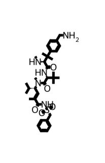 CN[C@H](C(=O)N[C@H](C(=O)N(C)[C@H](C=C(C)C(=O)NS(=O)(=O)Cc1ccccc1)C(C)C)C(C)(C)C)C(C)(C)c1ccc(CN)cc1